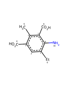 CCc1cc(C(=O)O)c(C)c(C(=O)O)c1N